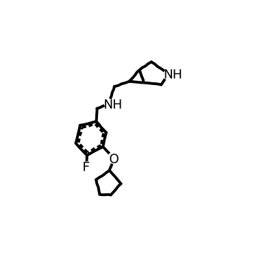 Fc1ccc(CNCC2C3CNCC23)cc1OC1CCCC1